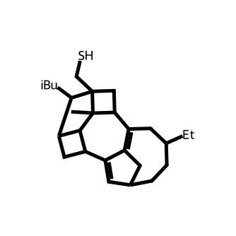 CCC1CCC2C=C3C(=C(C1)C1CC4(CS)C(C(C)CC)C5CC3C5C14C)C2